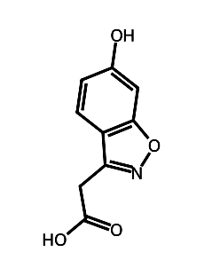 O=C(O)Cc1noc2cc(O)ccc12